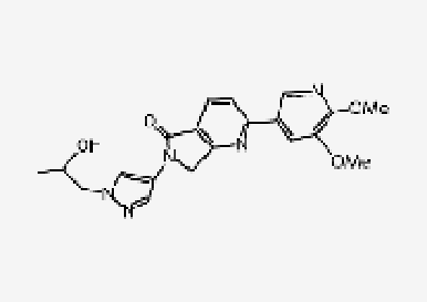 COc1cc(-c2ccc3c(n2)CN(c2cnn(CC(C)O)c2)C3=O)cnc1OC